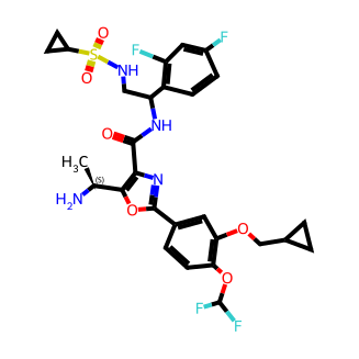 C[C@H](N)c1oc(-c2ccc(OC(F)F)c(OCC3CC3)c2)nc1C(=O)NC(CNS(=O)(=O)C1CC1)c1ccc(F)cc1F